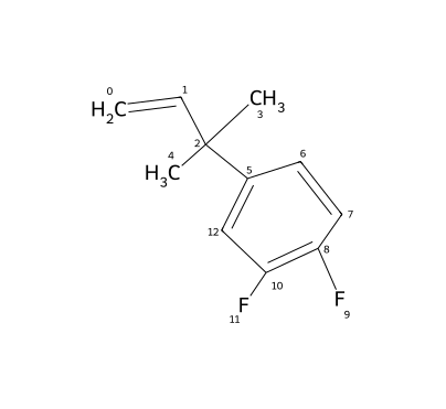 C=CC(C)(C)c1ccc(F)c(F)c1